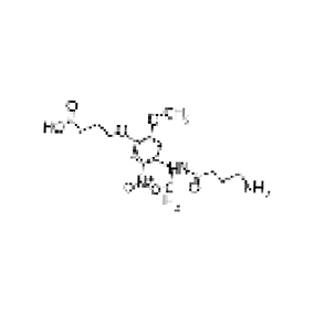 COc1cc(C(C)NC(=O)CCCN)c([N+](=O)[O-])cc1OCCCC(=O)O